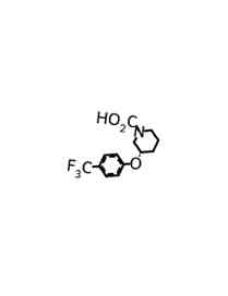 O=C(O)N1CCC[C@H](Oc2ccc(C(F)(F)F)cc2)C1